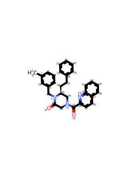 Cc1cccc(CN2C(=O)CN(C(=O)c3ccc4ccccc4n3)C[C@@H]2CCc2ccccc2)c1